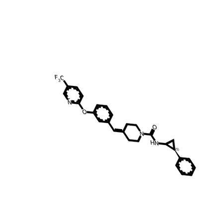 O=C(NC1C[C@H]1c1ccccc1)N1CCC(=Cc2cccc(Oc3ccc(C(F)(F)F)cn3)c2)CC1